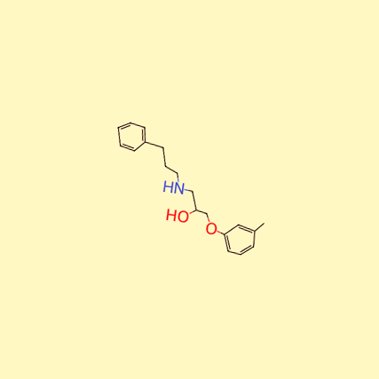 Cc1cccc(OCC(O)CNCCCc2ccccc2)c1